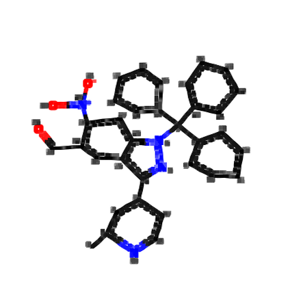 Cc1cc(-c2nn(C(c3ccccc3)(c3ccccc3)c3ccccc3)c3cc([N+](=O)[O-])c(C=O)cc23)ccn1